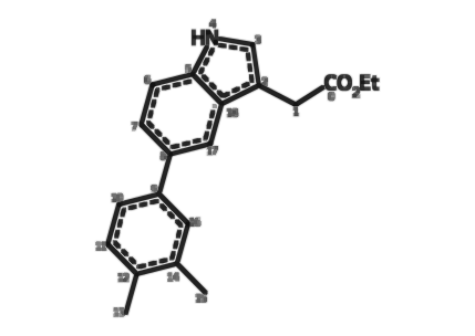 CCOC(=O)Cc1c[nH]c2ccc(-c3ccc(C)c(C)c3)cc12